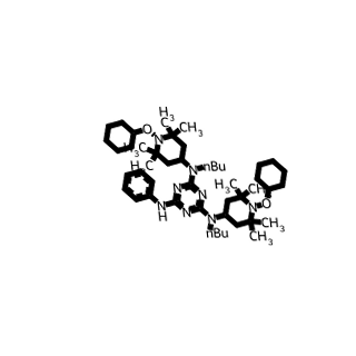 CCCCN(c1nc(Nc2ccccc2)nc(N(CCCC)C2CC(C)(C)N(OC3CCCCC3)C(C)(C)C2)n1)C1CC(C)(C)N(OC2CCCCC2)C(C)(C)C1